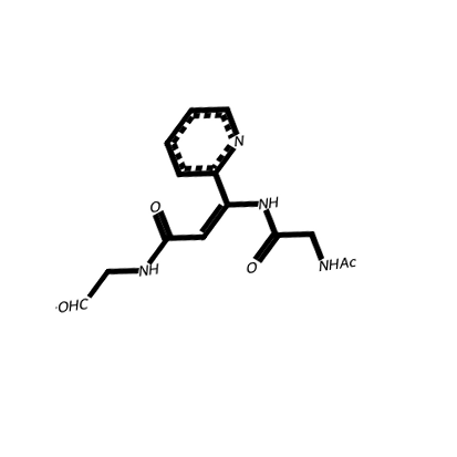 CC(=O)NCC(=O)NC(=CC(=O)NC[C]=O)c1ccccn1